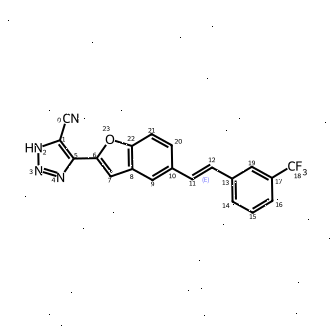 N#Cc1[nH]nnc1-c1cc2cc(/C=C/c3cccc(C(F)(F)F)c3)ccc2o1